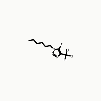 CCCCCCn1nnc(C(Cl)(Cl)Cl)c1F